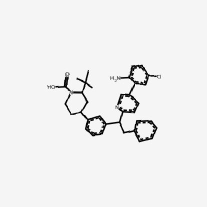 CC(C)(C)C1CC(c2cccc(C(Cc3ccccc3)c3ccc(-c4cc(Cl)ccc4N)cn3)c2)CCN1C(=O)O